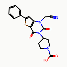 N#CCn1c(=O)n(C2CCN(C(=O)O)CC2)c(=O)c2sc(-c3ccccc3)cc21